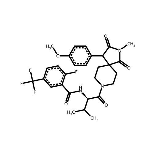 COc1ccc(C2C(=O)N(C)C(=O)C23CCN(C(=O)[C@H](NC(=O)c2cc(C(F)(F)F)ccc2F)C(C)C)CC3)cc1